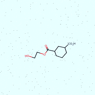 O=C(O)C1CCCC(C(=O)OCCO)C1